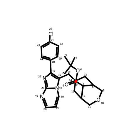 CC(C)(C)OC(=O)C1C2COCC1CN(Cc1c(-c3ccc(Cl)cc3)nc3ncccn13)C2